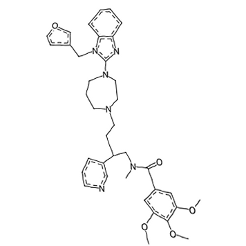 COc1cc(C(=O)N(C)CC(CCN2CCCN(c3nc4ccccc4n3Cc3ccoc3)CC2)c2cccnc2)cc(OC)c1OC